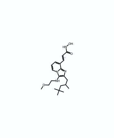 COCCNc1c(CC(C)CC(C)(C)C)nc2c(/C=C/C(=O)NO)cccn12